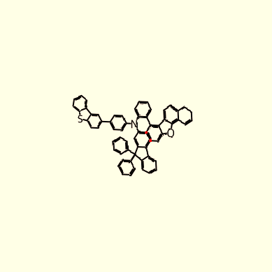 C1=Cc2c(ccc3c2oc2cccc(-c4ccccc4N(c4ccc(-c5ccc6sc7ccccc7c6c5)cc4)c4ccc5c(c4)C(c4ccccc4)(c4ccccc4)c4ccccc4-5)c23)CC1